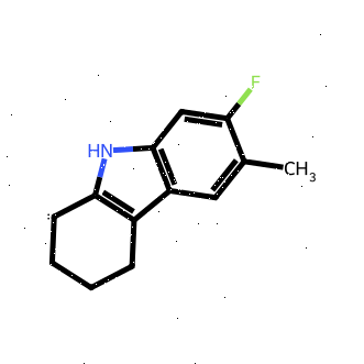 Cc1cc2c3c([nH]c2cc1F)[C]CCC3